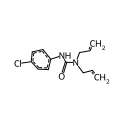 C=CCN(CC=C)C(=O)Nc1ccc(Cl)cc1